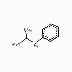 CNC(NC)[SiH2]c1ccccc1